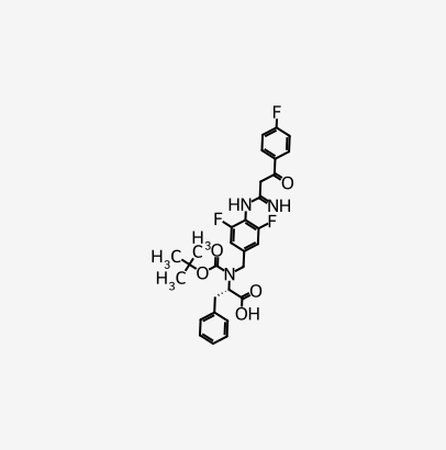 CC(C)(C)OC(=O)N(Cc1cc(F)c(NC(=N)CC(=O)c2ccc(F)cc2)c(F)c1)[C@@H](Cc1ccccc1)C(=O)O